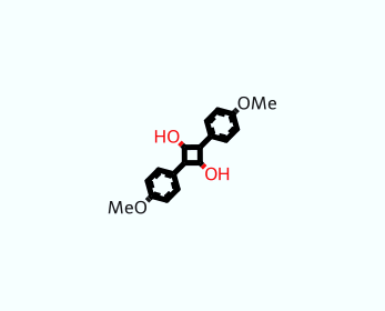 COc1ccc(C2C(O)C(c3ccc(OC)cc3)C2O)cc1